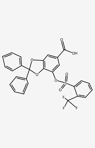 O=C(O)c1cc2c(c(OS(=O)(=O)c3ccccc3C(F)(F)F)c1)OC(c1ccccc1)(c1ccccc1)O2